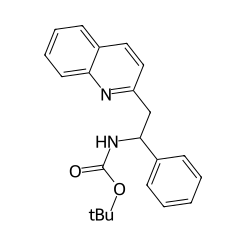 CC(C)(C)OC(=O)NC(Cc1ccc2ccccc2n1)c1ccccc1